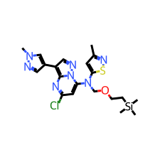 Cc1cc(N(COCC[Si](C)(C)C)c2cc(Cl)nc3c(-c4cnn(C)c4)cnn23)sn1